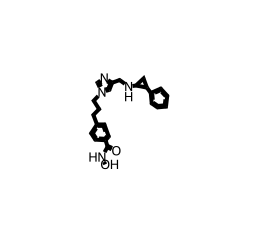 O=C(NO)c1ccc(CCCn2cnc(CNC3CC3c3ccccc3)c2)cc1